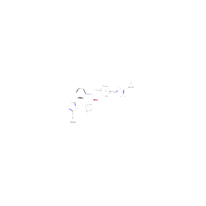 O=C(C1CC(F)(F)C1)N(CC12CCC(c3nc(C4CC4)no3)(CC1)CC2)c1cccc(-c2nc(C3CC3)no2)c1